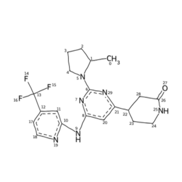 CC1CCCN1c1nc(Nc2cc(C(F)(F)F)ccn2)cc(C2CCNC(=O)C2)n1